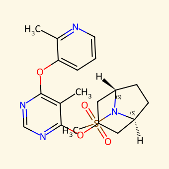 Cc1ncccc1Oc1ncnc(OC2C[C@@H]3CC[C@@H](C2)N3S(C)(=O)=O)c1C